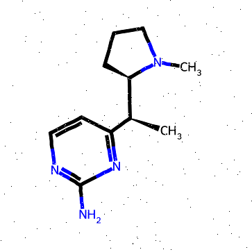 C[C@@H](c1ccnc(N)n1)[C@H]1CCCN1C